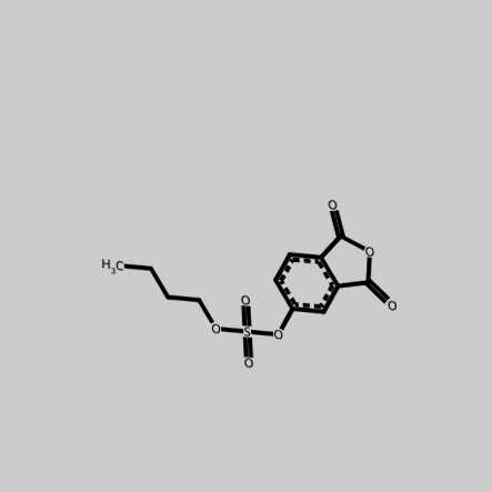 CCCCOS(=O)(=O)Oc1ccc2c(c1)C(=O)OC2=O